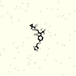 CC1(C(=O)NCc2[nH]c3cc(OCc4cscn4)ccc3c2C(F)(F)F)CC1